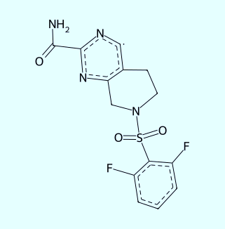 NC(=O)c1n[c]c2c(n1)CN(S(=O)(=O)c1c(F)cccc1F)CC2